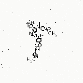 [2H]C([2H])([2H])Oc1cc2ncnc(Nc3ccc(Oc4nc(-c5ccc(C)nc5)cs4)cc3F)c2cc1NC1CCN(C(=O)C=C)CC1